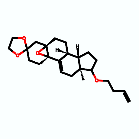 C=CCCOC1CC[C@H]2[C@@H]3CC[C@@]45CC6(CC[C@@]4(O5)C3=CC[C@]12C)OCCO6